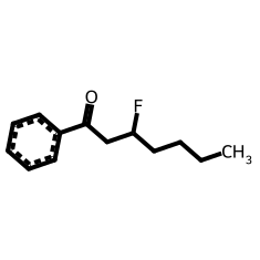 CCCCC(F)CC(=O)c1ccccc1